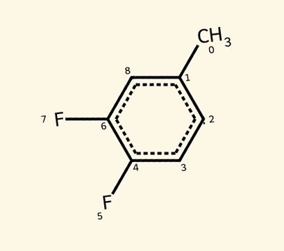 Cc1[c]cc(F)c(F)c1